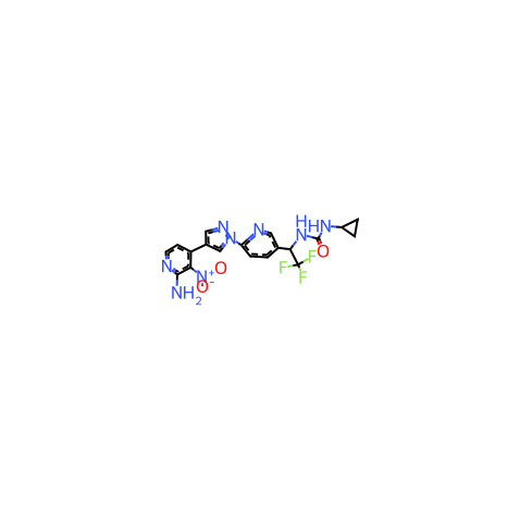 Nc1nccc(-c2cnn(-c3ccc(C(NC(=O)NC4CC4)C(F)(F)F)cn3)c2)c1[N+](=O)[O-]